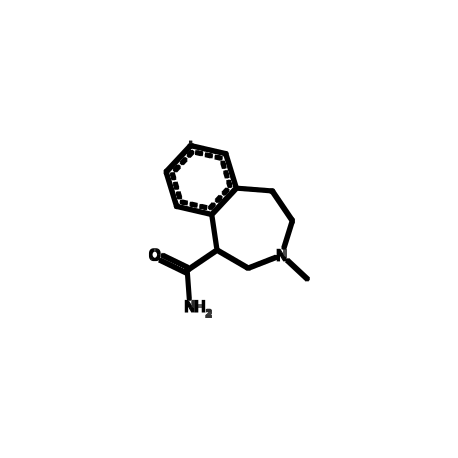 CN1CCc2c[c]ccc2C(C(N)=O)C1